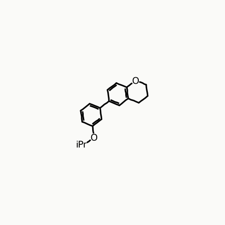 CC(C)Oc1cccc(-c2ccc3c(c2)CCCO3)c1